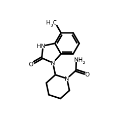 Cc1cccc2c1[nH]c(=O)n2C1CCCCN1C(N)=O